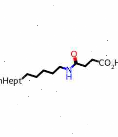 CCCCCCCCCCCCNC(=O)CCC(=O)O